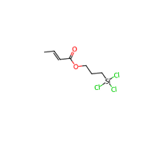 CC=CC(=O)OCCC[Si](Cl)(Cl)Cl